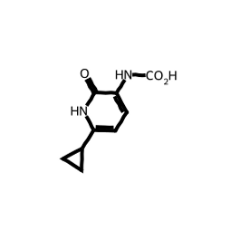 O=C(O)Nc1ccc(C2CC2)[nH]c1=O